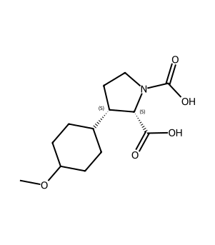 COC1CCC([C@@H]2CCN(C(=O)O)[C@@H]2C(=O)O)CC1